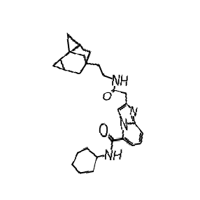 O=C(Cc1cn2c(C(=O)NC3CCCCC3)cccc2n1)NCCC12CC3CC3C3(CC3C1)C2